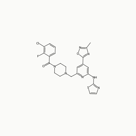 Cc1noc(-c2cc(CN3CCN(C(=O)c4cccc(Cl)c4F)CC3)nc(Nc3nccs3)c2)n1